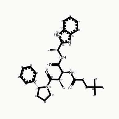 C[C@H](NC(=O)[C@@H](NC(=O)CCC(C)(C)C)[C@@H](C)C(=O)N1CCC[C@@H]1c1ccccc1)c1nc2ccccc2[nH]1